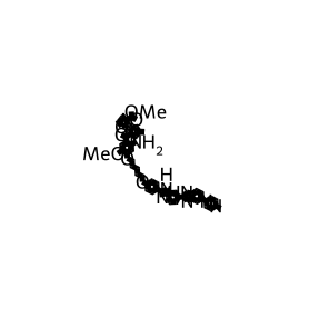 C=C1C[C@@H](C2OCCN2C(=O)OC)N(C(=O)c2cc(OC)c(OCCCCCOc3ccc(-c4nc5ccc(-c6nc7cc(N8CCN(C)CC8)ccc7[nH]6)cc5[nH]4)cc3)cc2N)C1